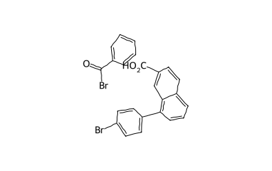 O=C(Br)c1ccccc1.O=C(O)c1ccc2cccc(-c3ccc(Br)cc3)c2c1